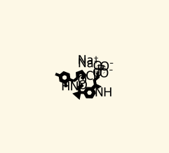 Cc1ccc(C(NC(=O)C2(c3ccc4[nH]cc(CCOP(=O)([O-])[O-])c4c3)CC2)c2ccc(Cl)o2)c(C)c1.[Na+].[Na+]